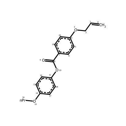 C=CCOc1ccc(C(=O)Oc2ccc(OCCC)cc2)cc1